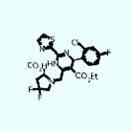 CCOC(=O)C1=C(CN2CC(F)(F)C[C@H]2C(=O)O)NC(c2nccs2)=N[C@H]1c1ccc(F)cc1Cl